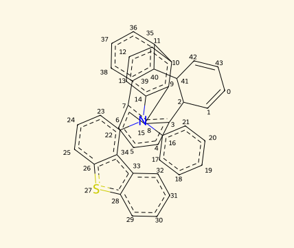 C1=CC2c3cccc4c3-c3c(cccc3N(c3ccccc3)c3cccc5sc6ccccc6c35)-c3cccc-4c3C2C=C1